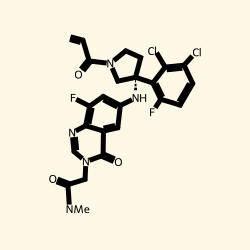 C=CC(=O)N1CC[C@@](Nc2cc(F)c3ncn(CC(=O)NC)c(=O)c3c2)(c2c(F)ccc(Cl)c2Cl)C1